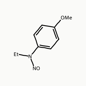 CCN(N=O)c1ccc(OC)cc1